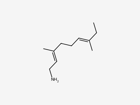 CCC(C)=CCCC(C)=CCN